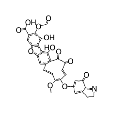 COC1=C(OC2=CC(=O)C3=NCCC3=C2)/C=C/C(=O)C(=O)c2c(cc3oc4cc(C(=O)O)c(OC=O)c(O)c4c3c2O)\C=C\1